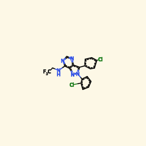 FC(F)(F)CNc1ncnc2c(-c3ccc(Cl)cc3)n(-c3ccccc3Cl)nc12